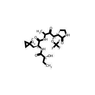 CC[C@@H](O)C(=O)N[C@@H](CC1(C)CC1)C(=O)NC(C)C(=O)[C@@H](OC(F)(F)F)[C@@H]1CCNC1=O